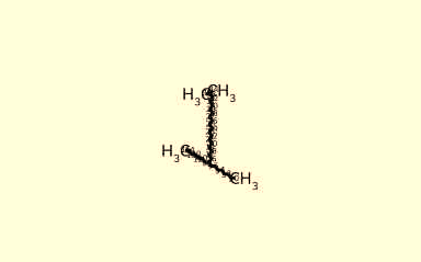 CCCCCCCC[C](CCCCCCC)CCCCCCCCCCCCCCCCCC(C)C